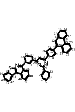 c1ccc(-c2nc(-c3ccc(-c4cc5ccccc5c5ccccc45)cc3)cc(-c3cccc(-c4nc5sc6ccccc6c5c5ccccc45)c3)n2)cc1